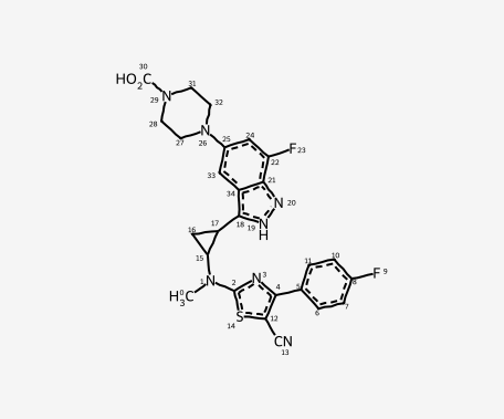 CN(c1nc(-c2ccc(F)cc2)c(C#N)s1)C1CC1c1[nH]nc2c(F)cc(N3CCN(C(=O)O)CC3)cc12